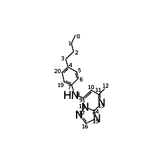 CCCCc1ccc(Nc2cc(C)nc3ncnn23)cc1